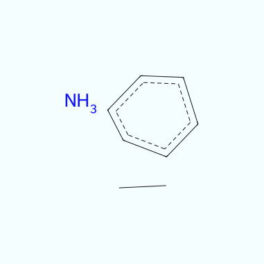 CC.N.c1ccccc1